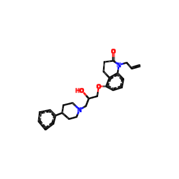 C=CCN1C(=O)CCc2c(OCC(O)CN3CCC(c4ccccc4)CC3)cccc21